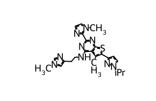 Cc1c(-c2ccn(C(C)C)n2)sc2nc(-c3nccn3C)nc(NCCc3cn(C)cn3)c12